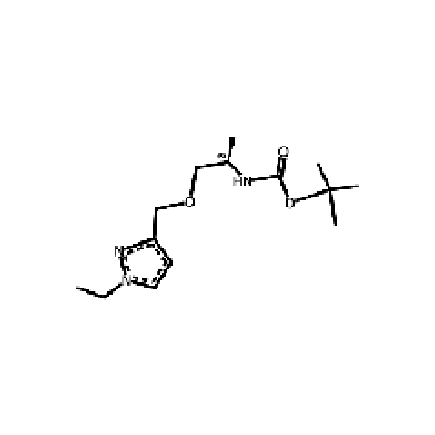 CCn1ccc(COC[C@@H](C)NC(=O)OC(C)(C)C)n1